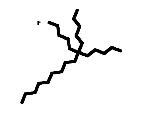 CCCCCCCCC[P+](CCCCC)(CCCCC)CCCCC.[I-]